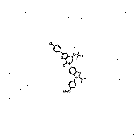 COc1ccc(-n2c(N(C)C)nc3cc(N4CN(OS(C)(=O)=O)c5cc(-c6ccc(Cl)cc6)sc5C4=O)ccc32)cc1